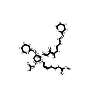 COC(=O)CCC/C=C\C[C@@H]1[C@@H](/C=C/C(=O)C(C)CCCCOC2CCCCO2)[C@H](OC2CCCCO2)C[C@@H]1OC(C)=O